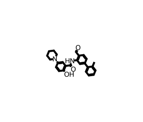 Cc1ccccc1-c1ccc(C=O)c(NC(=O)c2cc(N3CCCCC3)ccc2O)c1